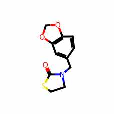 O=C1SCCN1Cc1ccc2c(c1)OCO2